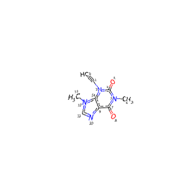 C#Cn1c(=O)n(C)c(=O)c2ncn(C)c21